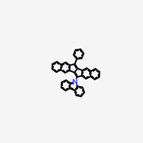 c1ccc(C2=C3C(=C(n4c5ccccc5c5ccccc54)c4cc5ccccc5cc43)c3cc4ccccc4cc32)cc1